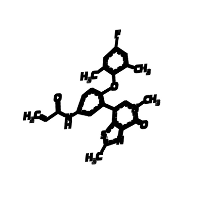 C=CC(=O)Nc1ccc(Oc2c(C)cc(F)cc2C)c(-c2cn(C)c(=O)c3nc(C)sc23)c1